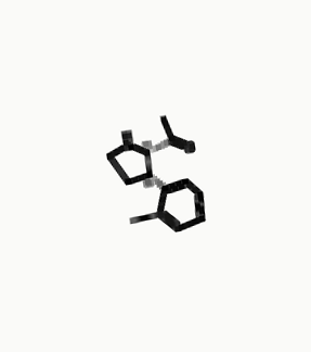 CC(=O)[C@H]1NCC[C@H]1c1ccccc1C